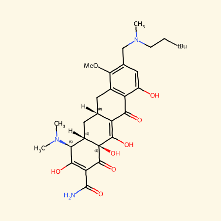 COc1c(CN(C)CCC(C)(C)C)cc(O)c2c1C[C@H]1C[C@H]3[C@H](N(C)C)C(O)=C(C(N)=O)C(=O)[C@@]3(O)C(O)=C1C2=O